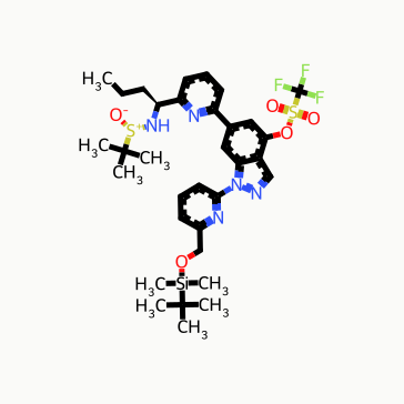 CCC[C@H](N[S+]([O-])C(C)(C)C)c1cccc(-c2cc(OS(=O)(=O)C(F)(F)F)c3cnn(-c4cccc(CO[Si](C)(C)C(C)(C)C)n4)c3c2)n1